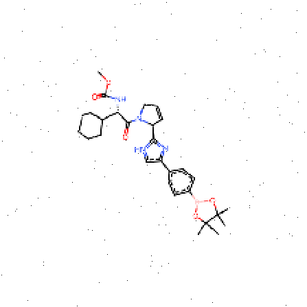 COC(=O)N[C@H](C(=O)N1CC=C[C@H]1c1nc(-c2ccc(B3OC(C)(C)C(C)(C)O3)cc2)c[nH]1)C1CCCCC1